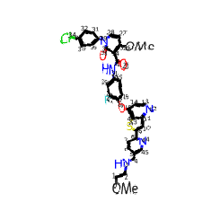 COCCNCc1ccc(-c2cc3nccc(Oc4ccc(NC(=O)c5c(OC)ccn(-c6ccc(Cl)cc6)c5=O)cc4F)c3s2)nc1